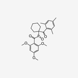 COc1cc(OC)c(C(=O)[P](=O)C2(C(=O)c3c(C)cc(C)cc3C)CCCCC2)c(OC)c1